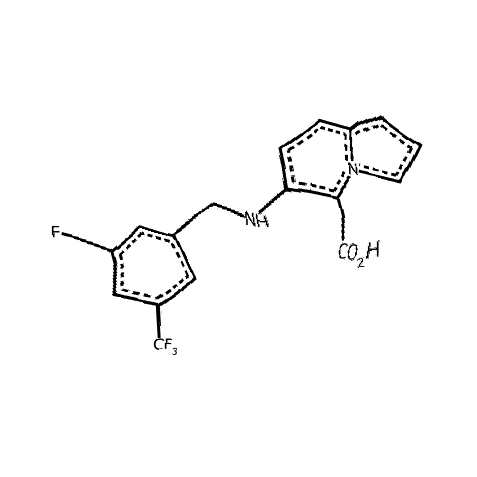 O=C(O)c1c(NCc2cc(F)cc(C(F)(F)F)c2)ccc2cccn12